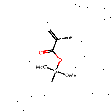 C=C(CCC)C(=O)O[Si](C)(OC)OC